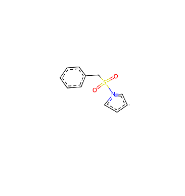 O=S(=O)(Cc1ccccc1)n1c[c]cc1